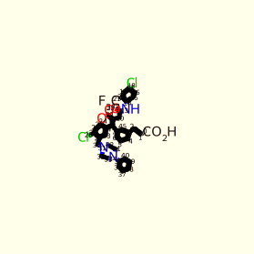 O=C(O)C=Cc1cccc(-c2c(CC(=O)Nc3ccc(Cl)cc3C(F)(F)F)c(=O)oc3cc(Cl)c(CN4CCN(c5ccccc5)CC4)cc23)c1